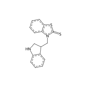 S=c1sc2ccccc2n1CC1CNc2ccccc21